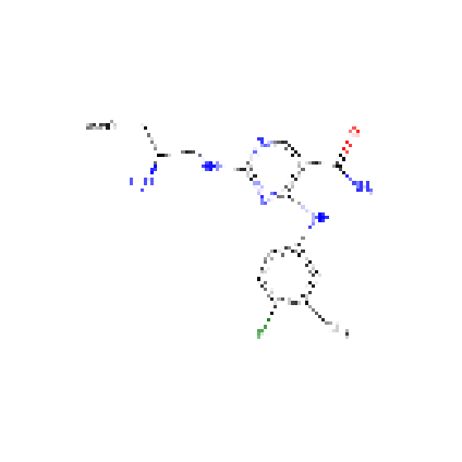 COC[C@H](N)CNc1ncc(C(N)=O)c(Nc2ccc(F)c(C)c2)n1